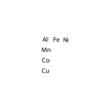 [Al].[Co].[Cu].[Fe].[Mn].[Ni]